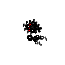 CCCC[N+](CC)(CC)C1CCCCC1.Fc1c(F)c(F)c([B-](c2c(F)c(F)c(F)c(F)c2F)(c2c(F)c(F)c(F)c(F)c2F)c2c(F)c(F)c(F)c(F)c2F)c(F)c1F